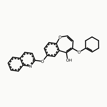 OC1=C(OC2=CCCCC2)C=COc2ccc(Oc3ccc4ccccc4n3)cc21